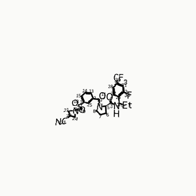 CCC(NC(=O)[C@H]1CCCN1C(=O)c1cccc(S(=O)(=O)N2CC(C#N)C2)c1)c1ccc(C(F)(F)F)cc1F